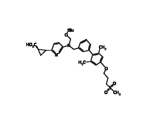 Cc1cc(OCCCS(C)(=O)=O)cc(C)c1-c1cccc(CN(COC(C)(C)C)c2ccc(C3C[C@H]3C(=O)O)nc2)c1